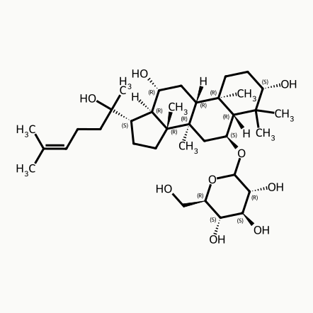 CC(C)=CCCC(C)(O)[C@H]1CC[C@]2(C)[C@@H]1[C@H](O)C[C@@H]1[C@@]3(C)CC[C@H](O)C(C)(C)[C@@H]3[C@@H](OC3O[C@H](CO)[C@@H](O)[C@H](O)[C@H]3O)C[C@]12C